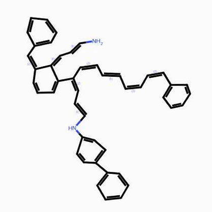 N/C=C/C=c1\c(C(/C=C\C=C\C=C/C=C\c2ccccc2)=C\C=C\Nc2ccc(-c3ccccc3)cc2)ccc\c1=C\c1ccccc1